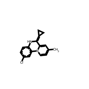 CC1=C=CN2C(=C1)C(=C1CC1)Nc1ccc(Cl)cc12